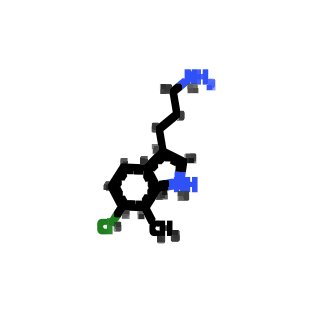 Cc1c(Cl)ccc2c(CCCN)c[nH]c12